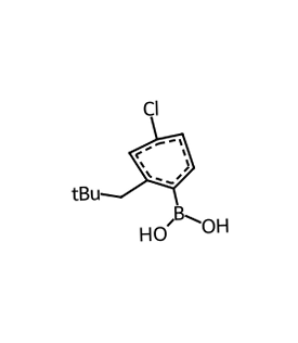 CC(C)(C)Cc1cc(Cl)ccc1B(O)O